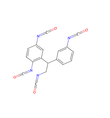 O=C=NCC(c1cccc(N=C=O)c1)c1cc(N=C=O)ccc1N=C=O